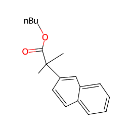 CCCCOC(=O)C(C)(C)c1ccc2ccccc2c1